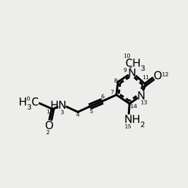 CC(=O)NCC#Cc1cn(C)c(=O)nc1N